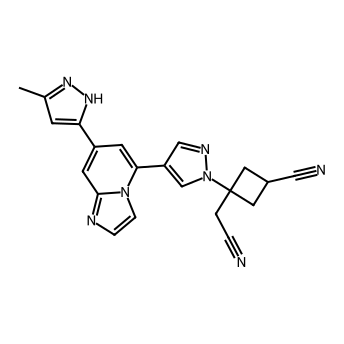 Cc1cc(-c2cc(-c3cnn(C4(CC#N)CC(C#N)C4)c3)n3ccnc3c2)[nH]n1